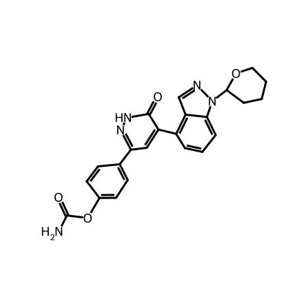 NC(=O)Oc1ccc(-c2cc(-c3cccc4c3cnn4C3CCCCO3)c(=O)[nH]n2)cc1